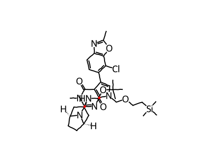 Cc1nc2ccc(-c3cn(COCC[Si](C)(C)C)c4nc(N5[C@@H]6CC[C@H]5C[C@@H](NC(=O)OC(C)(C)C)C6)n(C)c(=O)c34)c(Cl)c2o1